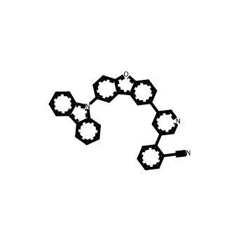 N#Cc1ccccc1-c1cncc(-c2ccc3oc4ccc(-n5c6ccccc6c6ccccc65)cc4c3c2)c1